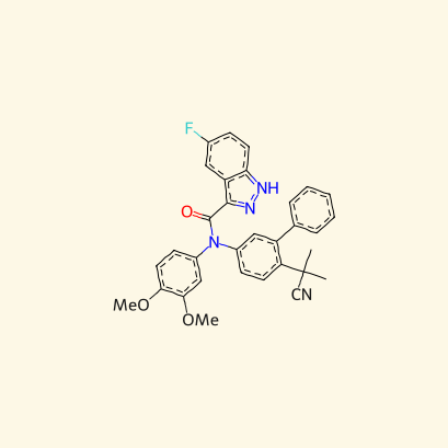 COc1ccc(N(C(=O)c2n[nH]c3ccc(F)cc23)c2ccc(C(C)(C)C#N)c(-c3ccccc3)c2)cc1OC